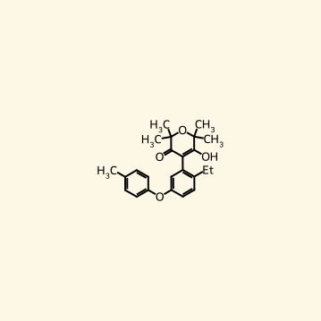 CCc1ccc(Oc2ccc(C)cc2)cc1C1=C(O)C(C)(C)OC(C)(C)C1=O